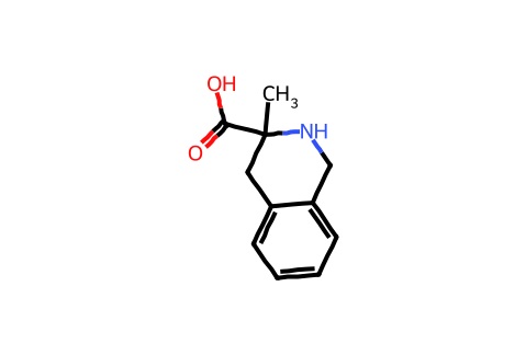 CC1(C(=O)O)Cc2ccccc2CN1